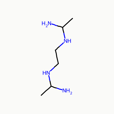 CC(N)NCCNC(C)N